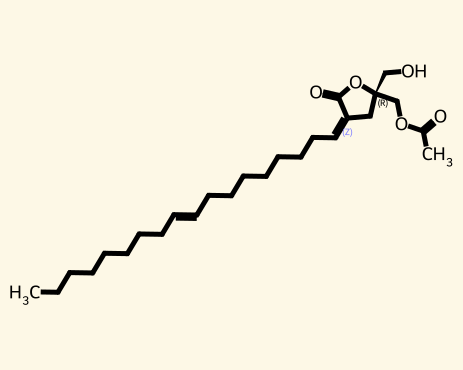 CCCCCCCCC=CCCCCCCC/C=C1/C[C@@](CO)(COC(C)=O)OC1=O